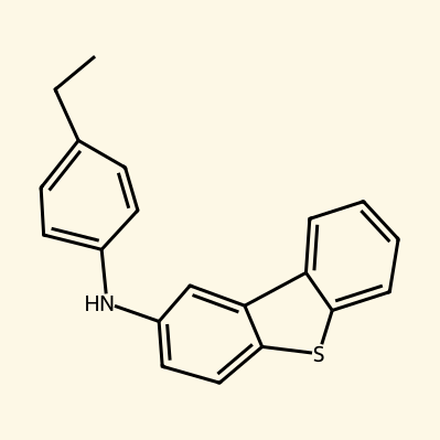 CCc1ccc(Nc2ccc3sc4ccccc4c3c2)cc1